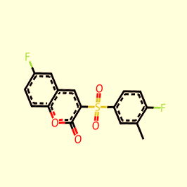 Cc1cc(S(=O)(=O)c2cc3cc(F)ccc3oc2=O)ccc1F